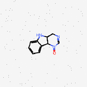 O=[N+]1C=NCC2Nc3ccccc3C21